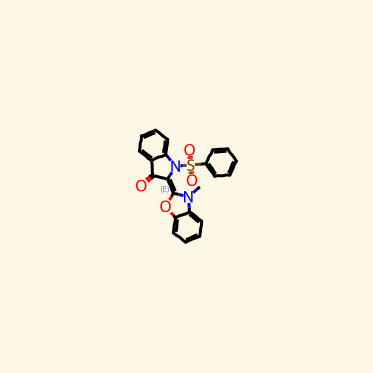 CN1/C(=C2/C(=O)c3ccccc3N2S(=O)(=O)c2ccccc2)Oc2ccccc21